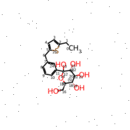 CCc1ccc(Cc2cccc(C3(O)O[C@H](CO)[C@@H](O)[C@H](O)[C@H]3O)c2)s1